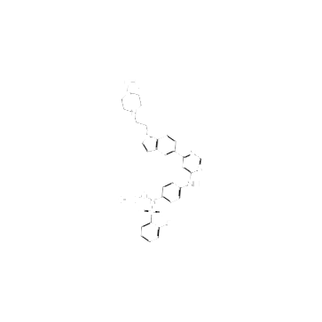 CN1CCN(CCn2ccc3cc(-c4cc(Nc5ccc(N(OC=O)S(=O)(=O)c6ccccc6F)cc5)ncn4)ccc32)CC1